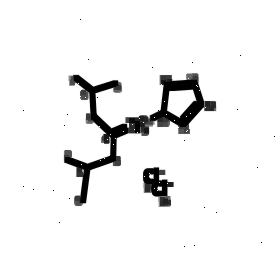 CC(C)C[C](CC(C)C)=[Ti+2][CH]1C=CC=C1.[Cl-].[Cl-]